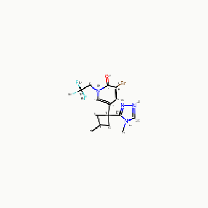 CC1CC(c2cc(Br)c(=O)n(CC(F)(F)F)c2)(c2nncn2C)C1